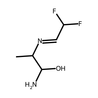 CC(/N=C/C(F)F)C(N)O